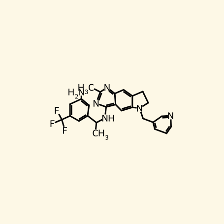 Cc1nc(NC(C)c2cc(N)cc(C(F)(F)F)c2)c2cc3c(cc2n1)CCN3Cc1cccnc1